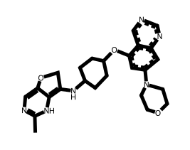 CC1=NC=C2OCC(NC3CCC(Oc4cc(N5CCOCC5)cc5ncncc45)CC3)=C2N1